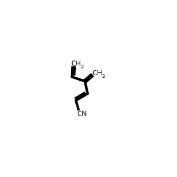 C=CC(=C)C=CC#N